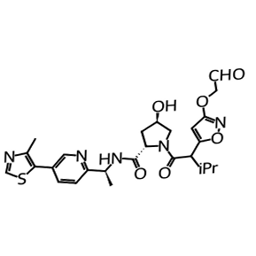 Cc1ncsc1-c1ccc([C@H](C)NC(=O)[C@@H]2C[C@@H](O)CN2C(=O)C(c2cc(OCC=O)no2)C(C)C)nc1